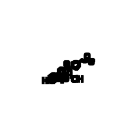 COC(=O)CC[C@H]1CC[C@H](NC(=O)c2ccc(N3CCNCC3)c(S(C)(=O)=O)c2)CC1.Cl